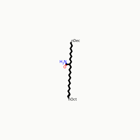 CCCCCCCCC=CCCCCCCCCCCC(CCCCCCCCCCCCCCCCCC)C(N)=O